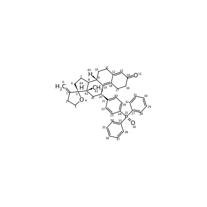 C=C1CCO[C@]12CC[C@H]1[C@@H]3CCC4=CC(=O)CCC4=C3[C@@H](c3ccc(P(=O)(c4ccccc4)c4ccccc4)cc3)C[C@@]12C